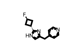 F[C@H]1C[C@H](c2nc(Cc3ccncc3)c[nH]2)C1